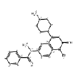 CCn1c(=O)cc(C2CCN(C)CC2)c2cc(N(C)C(=O)c3ccccc3)ccc21